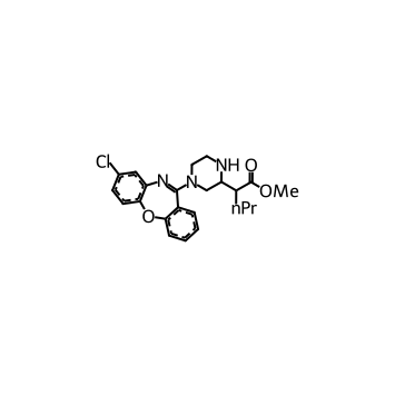 CCCC(C(=O)OC)C1CN(C2=Nc3cc(Cl)ccc3Oc3ccccc32)CCN1